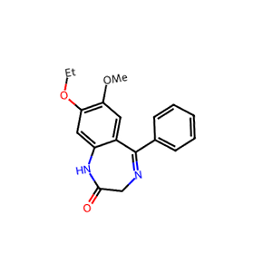 CCOc1cc2c(cc1OC)C(c1ccccc1)=NCC(=O)N2